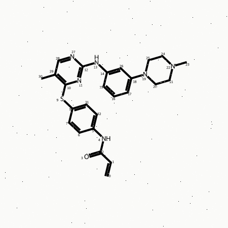 C=CC(=O)Nc1ccc(Sc2nc(Nc3cccc(N4CCN(C)CC4)c3)ncc2C)cc1